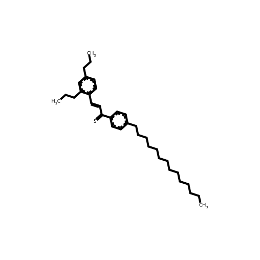 CCCCCCCCCCCCCCc1ccc(C(=S)C=Cc2ccc(CCC)cc2CCC)cc1